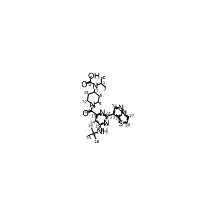 CC(C)N(C(=O)O)C1CCN(C(=O)c2cc(NC(C)(C)C)nc(-c3cnn4ccsc34)n2)CC1